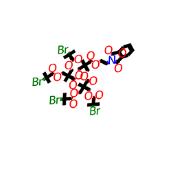 CC(C)(Br)C(=O)OCC(C)(COC(=O)C(C)(C)Br)C(=O)OCC(C)(COC(=O)C(C)(COC(=O)C(C)(C)Br)COC(=O)C(C)(C)Br)C(=O)OCCN1C(=O)C2C3C=CC(O3)C2C1=O